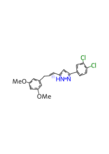 COc1cc(C/C=C/c2cc(-c3ccc(Cl)c(Cl)c3)n[nH]2)cc(OC)c1